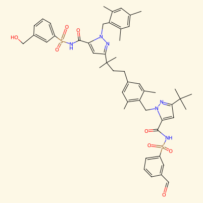 Cc1cc(C)c(Cn2nc(C(C)(C)CCc3cc(C)c(Cn4nc(C(C)(C)C)cc4C(=O)NS(=O)(=O)c4cccc(C=O)c4)c(C)c3)cc2C(=O)NS(=O)(=O)c2cccc(CO)c2)c(C)c1